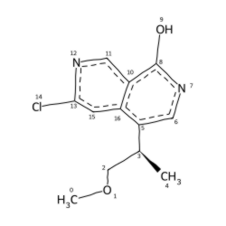 COC[C@H](C)c1cnc(O)c2cnc(Cl)cc12